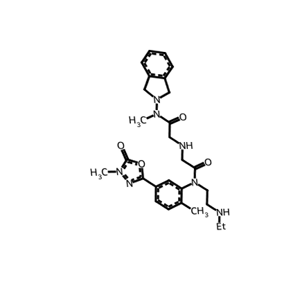 CCNCCN(C(=O)CNCC(=O)N(C)N1Cc2ccccc2C1)c1cc(-c2nn(C)c(=O)o2)ccc1C